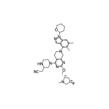 Cc1cc2c(cnn2C2CCCCO2)c(N2CCc3c(nc(OC[C@@H]4C[C@@H](F)CN4C)nc3N3CCNC(CC#N)C3)C2)c1C